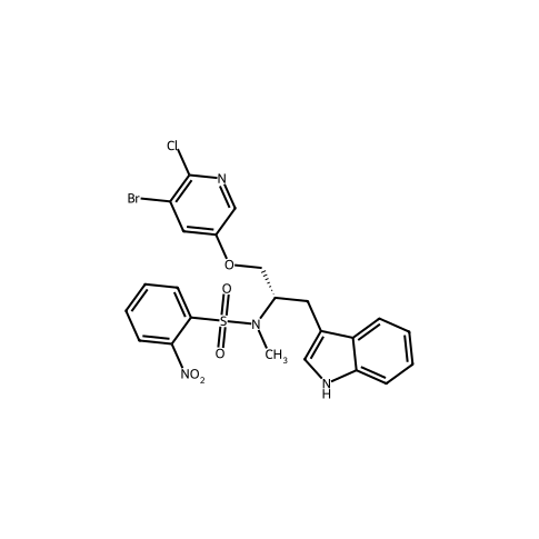 CN([C@H](COc1cnc(Cl)c(Br)c1)Cc1c[nH]c2ccccc12)S(=O)(=O)c1ccccc1[N+](=O)[O-]